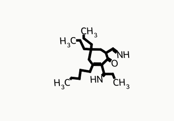 CCCCCC1=C(C(=N)CC)C(=O)C(C=N)CC(CCC)(CCC)C1